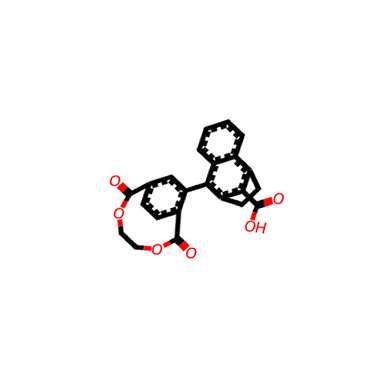 O=C1OCCOC(=O)c2ccc1cc2-c1c2c(C(=O)O)c(c3ccccc13)CC2